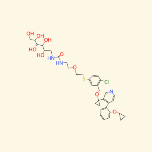 O=C(NCCOCCSc1ccc(Cl)c(COC2(c3cnccc3-c3ccccc3OC3CC3)CC2)c1)NCC(O)C(O)C(O)C(O)CO